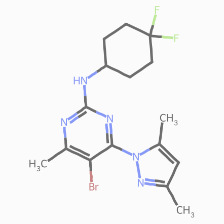 Cc1cc(C)n(-c2nc(NC3CCC(F)(F)CC3)nc(C)c2Br)n1